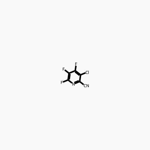 N#Cc1nc(F)c(F)c(F)c1Cl